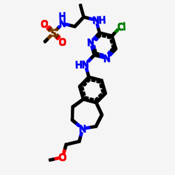 COCCN1CCc2ccc(Nc3ncc(Cl)c(NC(C)CNS(C)(=O)=O)n3)cc2CC1